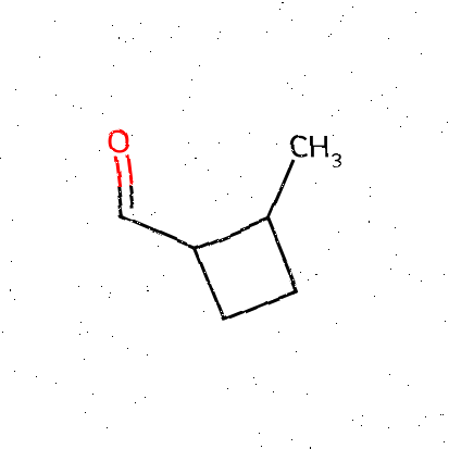 CC1CCC1C=O